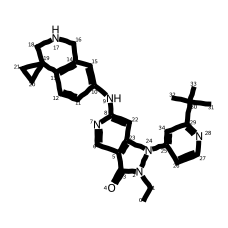 CCn1c(=O)c2cnc(Nc3ccc4c(c3)CNCC43CC3)cc2n1-c1ccnc(C(C)(C)C)c1